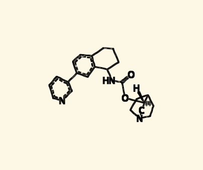 O=C(NC1CCCc2ccc(-c3cccnc3)cc21)O[C@H]1CN2CCC1CC2